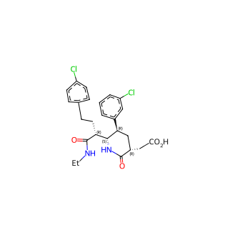 CCNC(=O)[C@H](CCc1ccc(Cl)cc1)[C@H]1NC(=O)[C@@H](CC(=O)O)C[C@@H]1c1cccc(Cl)c1